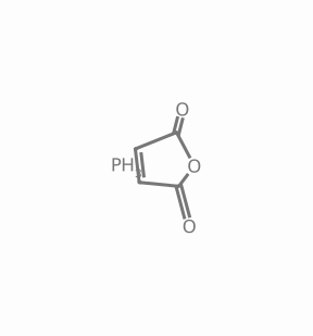 O=C1C=CC(=O)O1.P